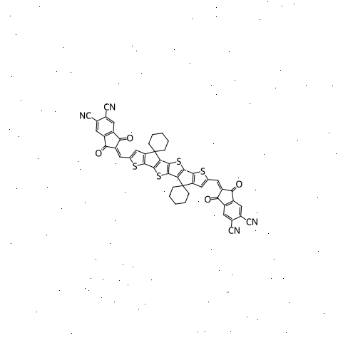 N#Cc1cc2c(cc1C#N)C(=O)C(=Cc1cc3c(s1)-c1sc4c5c(sc4c1C31CCCCC1)-c1sc(C=C3C(=O)c4cc(C#N)c(C#N)cc4C3=O)cc1C51CCCCC1)C2=O